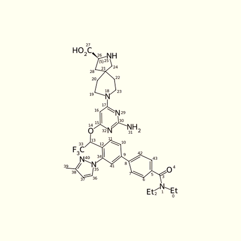 CCN(CC)C(=O)c1ccc(-c2ccc(C(Oc3cc(N4CCC5(CC4)CN[C@H](C(=O)O)C5)nc(N)n3)C(F)(F)F)c(-n3ccc(C)n3)c2)cc1